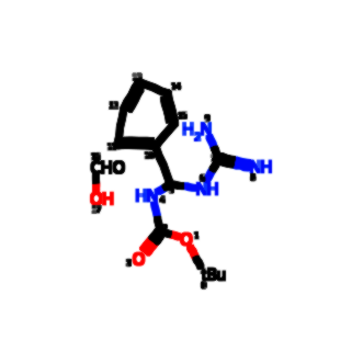 CC(C)(C)OC(=O)NC(NC(=N)N)c1ccccc1.O=CO